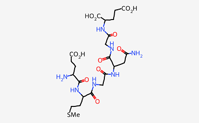 CSCCC(NC(=O)C(N)CCC(=O)O)C(=O)NCC(=O)NC(CC(N)=O)C(=O)NCC(=O)NC(CCC(=O)O)C(=O)O